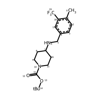 Cc1ccc(CNC2CCN(C(=O)OC(C)(C)C)CC2)cc1C(F)(F)F